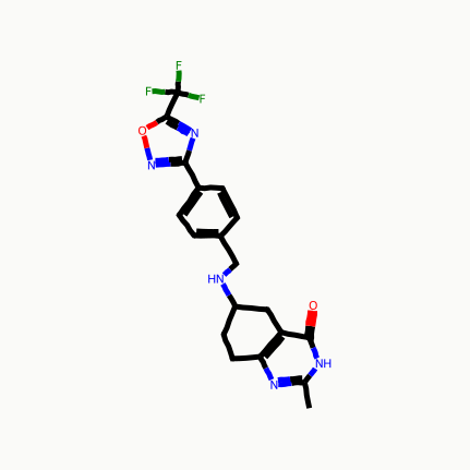 Cc1nc2c(c(=O)[nH]1)CC(NCc1ccc(-c3noc(C(F)(F)F)n3)cc1)CC2